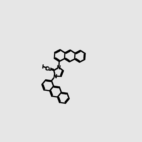 [I][Cu]=[c]1n(-c2cccc3cc4ccccc4cc23)ccn1-c1cccc2cc3ccccc3cc12